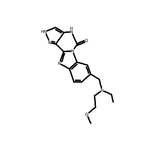 CCN(CCOC)Cc1ccc2nc3c4n[nH]cc4[nH]c(=O)n3c2c1